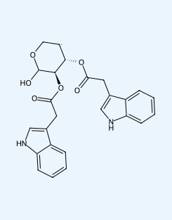 O=C(Cc1c[nH]c2ccccc12)O[C@H]1[CH]COC(O)[C@@H]1OC(=O)Cc1c[nH]c2ccccc12